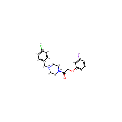 O=C(COc1cccc(I)c1)N1CCN(Cc2ccc(Cl)cc2)CC1